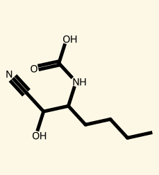 CCCCC(NC(=O)O)C(O)C#N